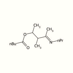 CCCCC(=O)OC(C)C(C)C(C)=NCCC